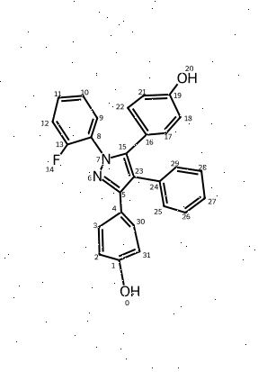 Oc1ccc(-c2nn(-c3ccccc3F)c(-c3ccc(O)cc3)c2-c2ccccc2)cc1